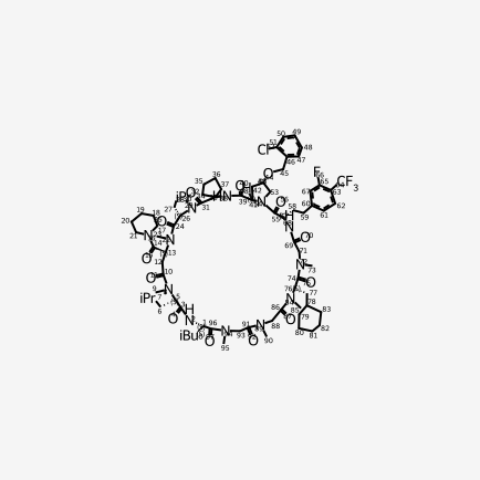 CC[C@H](C)[C@@H]1NC(=O)[C@H](CC(C)C)N(C)C(=O)C[C@@H](C(=O)N2CCCCC2)N(C)C(=O)[C@H](CC(C)C)N(C)C(=O)C2(CCCC2)NC(=O)[C@@H]2C[C@@H](OCc3ccccc3Cl)CN2C(=O)[C@H](CCc2ccc(C(F)(F)F)c(F)c2)NC(=O)CN(C)C(=O)[C@H](CC2CCCCC2)N(C)C(=O)CN(C)C(=O)CN(C)C1=O